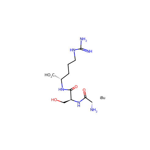 CC[C@H](C)[C@H](N)C(=O)N[C@@H](CO)C(=O)N[C@@H](CCCNC(=N)N)C(=O)O